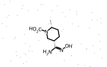 C[C@@H]1CC[C@H](/C(N)=N\O)CN1C(=O)O